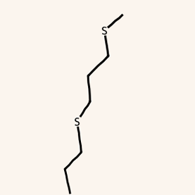 CCCSCCCSC